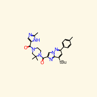 Cc1ccc(-c2cc(C(C)(C)C)c3nc(C(=O)N4CCN(C(=O)c5cnc(C)[nH]5)CC4(C)C)cn3n2)cc1